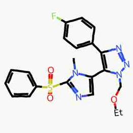 CCOCn1nnc(-c2ccc(F)cc2)c1-c1cnc(S(=O)(=O)c2ccccc2)n1C